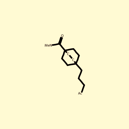 CNC(=O)C12CCC(CCCC(C)=O)(CC1)CC2